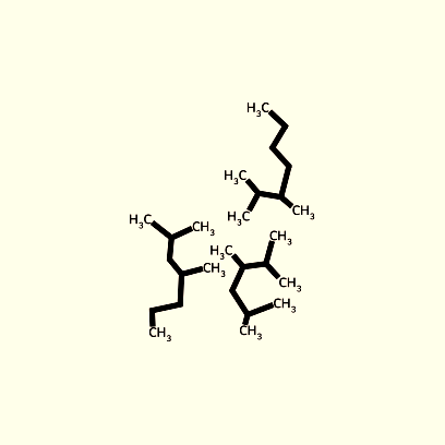 CC(C)CC(C)C(C)C.CCCC(C)CC(C)C.CCCCC(C)C(C)C